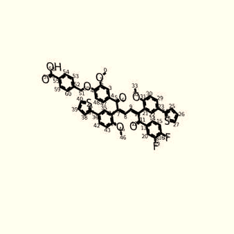 COc1cc(C(=O)C(=CC=C(C(=O)c2ccc(F)c(F)c2)c2cc(-c3cccs3)ccc2OC)c2cc(-c3cccs3)ccc2OC)ccc1OCc1ccc(C(=O)O)cc1